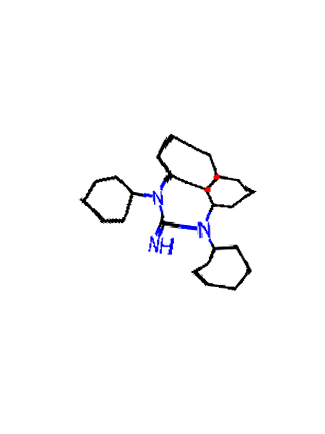 N=C(N(C1CCCCC1)C1CCCCC1)N(C1CCCCC1)C1CCCCC1